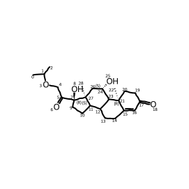 CC(C)OCC(=O)[C@@]1(O)CCC2C3CCC4=CC(=O)CC[C@]4(C)C3[C@@H](O)C[C@@]21C